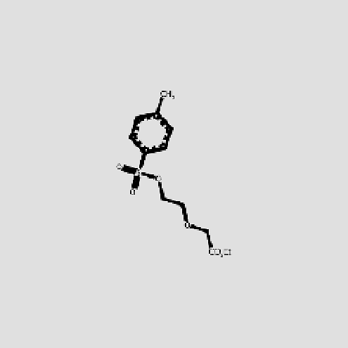 CCOC(=O)COCCOS(=O)(=O)c1ccc(C)cc1